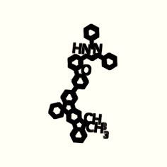 CC1(C)c2ccccc2C2C=C3C(=CC21)c1cc(-c2ccc4oc5c(C6C=C(C7=CCCC=C7)N=C(c7ccccc7)N6)cccc5c4c2)ccc1C31CCCCC1